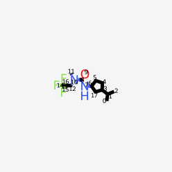 CC(C)C1CCC(NC(=O)N(C)CC(F)(F)F)C1